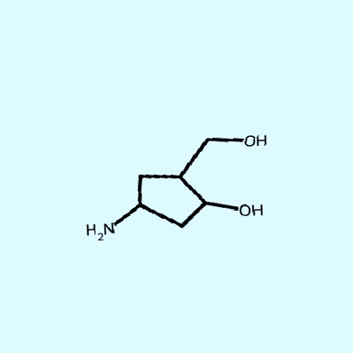 NC1CC(O)C(CO)C1